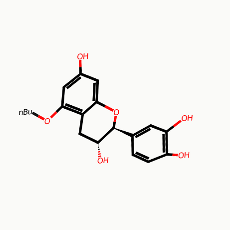 CCCCOc1cc(O)cc2c1C[C@@H](O)[C@H](c1ccc(O)c(O)c1)O2